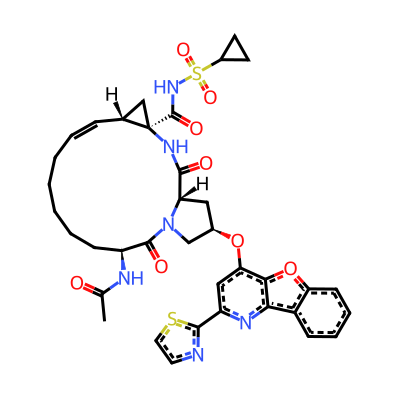 CC(=O)N[C@H]1CCCCC/C=C\[C@@H]2C[C@@]2(C(=O)NS(=O)(=O)C2CC2)NC(=O)[C@@H]2C[C@@H](Oc3cc(-c4nccs4)nc4c3oc3ccccc34)CN2C1=O